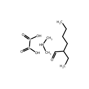 CCCCC(C=O)CC.CNC.O=S(O)S(=O)O